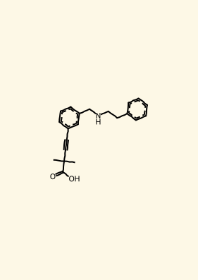 CC(C)(C#Cc1cccc(CNCCc2ccccc2)c1)C(=O)O